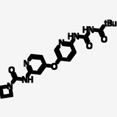 CC(C)(C)C(=O)NC(=O)Nc1ccc(Oc2ccnc(NC(=O)N3CCC3)c2)cn1